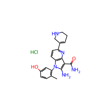 Cc1ccc(O)cc1-n1c(N)c(C(N)=O)c2nc(C3=CCCNC3)ccc21.Cl